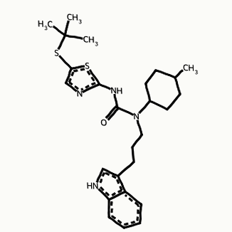 CC1CCC(N(CCCc2c[nH]c3ccccc23)C(=O)Nc2ncc(SC(C)(C)C)s2)CC1